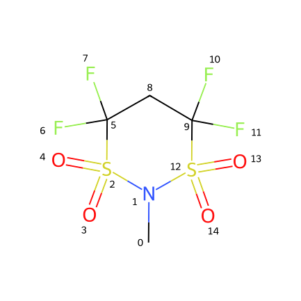 CN1S(=O)(=O)C(F)(F)CC(F)(F)S1(=O)=O